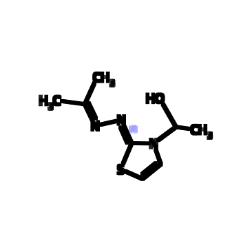 CC(C)=N/N=c1\sccn1C(C)O